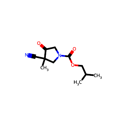 CC(C)COC(=O)N1CC(=O)C(C)(C#N)C1